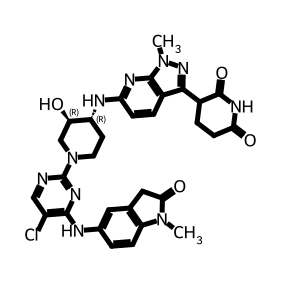 CN1C(=O)Cc2cc(Nc3nc(N4CC[C@@H](Nc5ccc6c(C7CCC(=O)NC7=O)nn(C)c6n5)[C@H](O)C4)ncc3Cl)ccc21